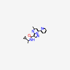 Cc1cc(-c2ccccn2)n2ncc(C(=O)NC(C)C3CC3)c2n1